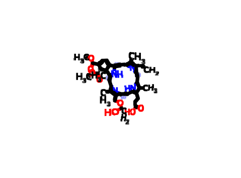 C=CC1=C(C)C2=NC/1=C\C1NC(=C(CCC(=O)O)C1C)/C=C1N=C(/C=C3\N/C(=C\2)C2=CC=C(C(=O)OC)[C@@H](C(=O)OC)[C@]23C)C(C)=C\1COC(=C)O